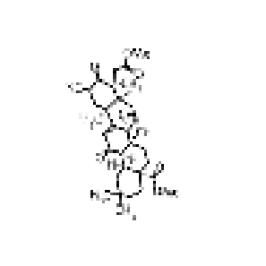 COC(=O)C[C@]1(C)C(=O)C(C#N)C[C@]2(C)C3=CC(=O)[C@@H]4[C@@H]5CC(C)(C)CC[C@]5(C(=O)OC)CC[C@@]4(C)[C@]3(C)CC[C@@H]12